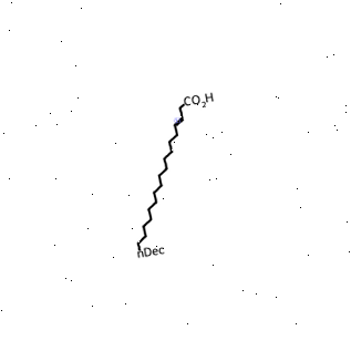 CCCCCCCCCCCCCCCCCCCCCCCC/C=C/CC(=O)O